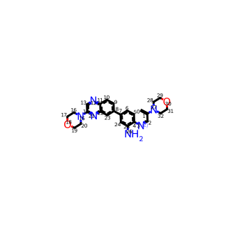 C=C(/C=N\c1ccc(-c2ccc3ncc(N4CCOCC4)nc3c2)cc1N)N1CCOCC1